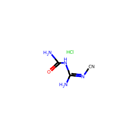 Cl.N#CN=C(N)NC(N)=O